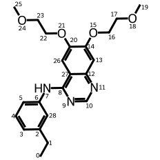 CCc1cccc(Nc2ncnc3cc(OCCOC)c(OCCOC)cc23)c1